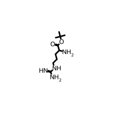 CC(C)(C)OC(=O)C(N)CCCNC(=N)N